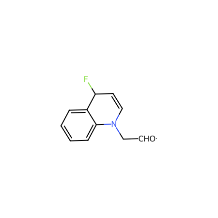 O=[C]CN1C=CC(F)c2ccccc21